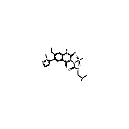 CCc1cc2[nH]c(=O)n(N(C(=O)OCC(C)C)S(C)(=O)=O)c(=O)c2cc1-c1ccnn1C